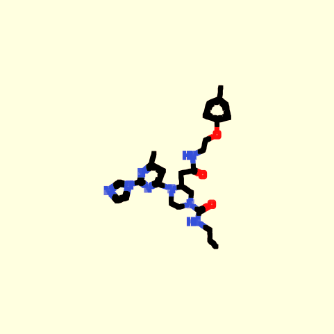 CCCNC(=O)N1CCN(c2cc(C)nc(-n3ccnc3)n2)C(CC(=O)NCCOc2ccc(C)cc2)C1